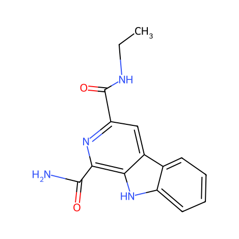 CCNC(=O)c1cc2c([nH]c3ccccc32)c(C(N)=O)n1